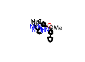 CNc1cc(-c2cccnc2Nc2cc(C(=O)Nc3cc(C4CCCCC4)ccc3OC)ccc2C)ncn1